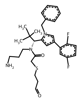 CC(C)(C)[C@H](c1cc(-c2cc(F)ccc2F)cn1Cc1ccccc1)N(CCCN)C(=O)CSCCC=O